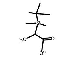 CC(C)(C)[Si](C)(C)C(O)C(=O)O